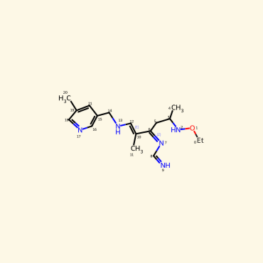 CCONC(C)CC(=N/C=N)/C(C)=C/NCc1cncc(C)c1